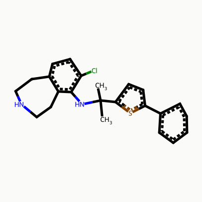 CC(C)(Nc1c(Cl)ccc2c1CCNCC2)c1ccc(-c2ccccc2)s1